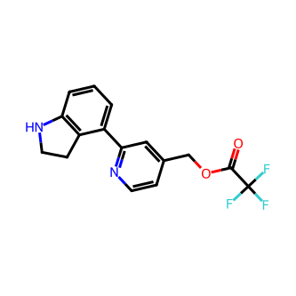 O=C(OCc1ccnc(-c2cccc3c2CCN3)c1)C(F)(F)F